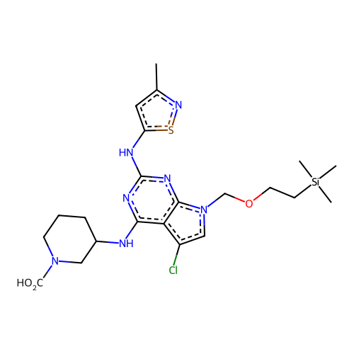 Cc1cc(Nc2nc(NC3CCCN(C(=O)O)C3)c3c(Cl)cn(COCC[Si](C)(C)C)c3n2)sn1